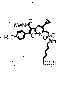 CNC(=O)c1c(-c2ccc(C)cc2)oc2nc(CS(=O)(=O)NCCCC=CC(=O)O)c(C3CC3)cc12